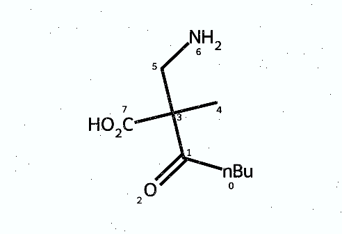 CCCCC(=O)C(C)(CN)C(=O)O